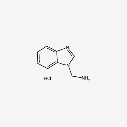 Cl.NCn1cnc2ccccc21